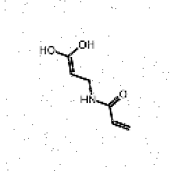 C=CC(=O)NCC=C(O)O